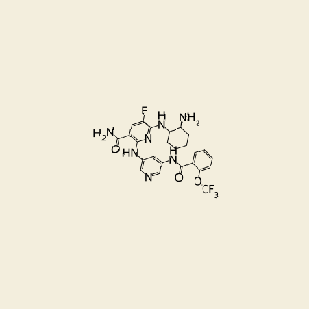 NC(=O)c1cc(F)c(NC2CCCC[C@@H]2N)nc1Nc1cncc(NC(=O)c2ccccc2OC(F)(F)F)c1